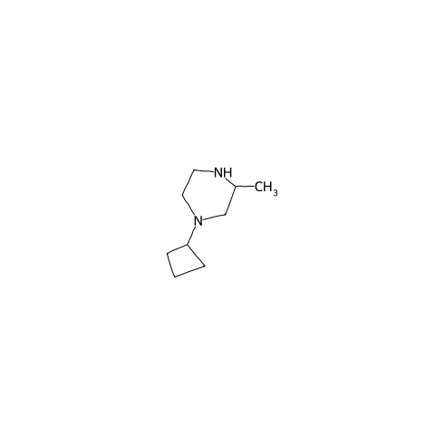 CC1CN(C2CCC2)CCN1